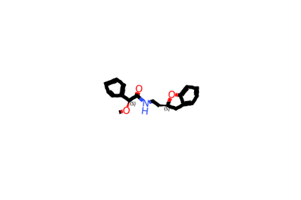 CO[C@H](C(=O)NCC[C@@H]1Cc2ccccc2O1)c1ccccc1